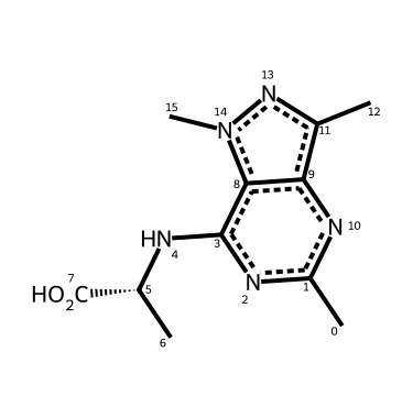 Cc1nc(N[C@H](C)C(=O)O)c2c(n1)c(C)nn2C